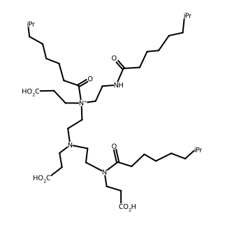 CC(C)CCCCCC(=O)NCC[N+](CCC(=O)O)(CCN(CCC(=O)O)CCN(CCC(=O)O)C(=O)CCCCCC(C)C)C(=O)CCCCCC(C)C